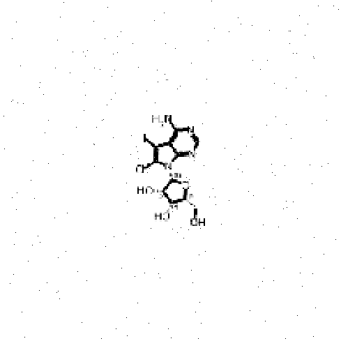 Nc1ncnc2c1c(I)c(Cl)n2[C@@H]1O[C@H](CO)[C@H](O)[C@@H]1O